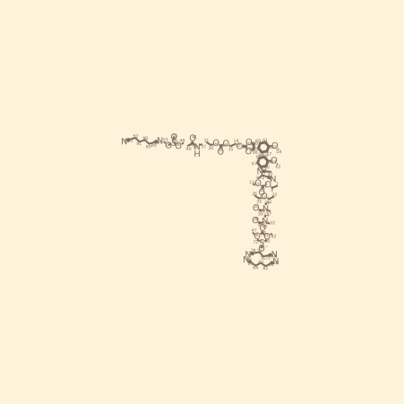 CC#N.CCC#N.CCOC(=O)OC.CCOC(=O)OCC.CCOCC.CN(C)C=O.CN(C)C=O.CNC(C)=O.COC(=O)OC.COS(=O)OC.COc1ccccc1.COc1ccccc1.C[S+](C)[O-].N#CCCC#N.N#CCCCC#N.N#CCCCCC#N.O=c1occo1